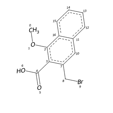 COc1c(C(=O)O)c(CBr)cc2ccccc12